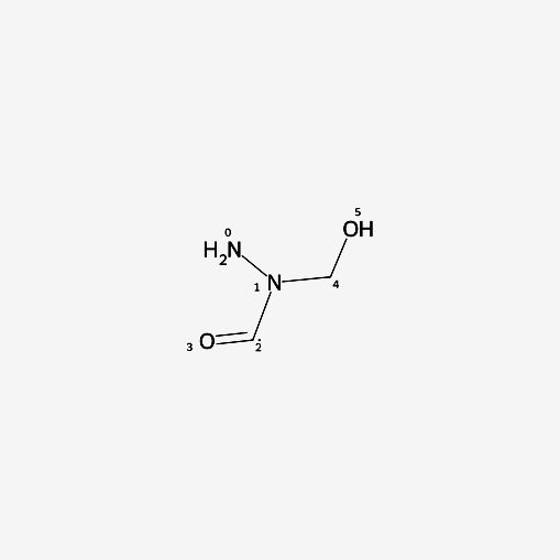 NN([C]=O)CO